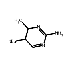 CC1N=C(N)N=CC1C(C)(C)C